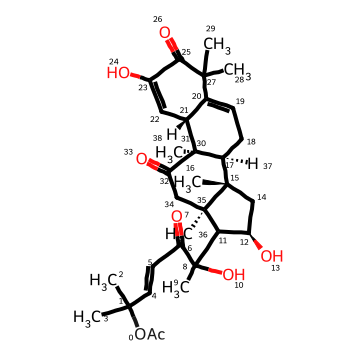 CC(=O)OC(C)(C)/C=C/C(=O)C(C)(O)C1[C@H](O)C[C@@]2(C)[C@@H]3CC=C4[C@@H](C=C(O)C(=O)C4(C)C)[C@]3(C)C(=O)C[C@]12C